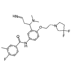 Cc1cc(C(=O)Nc2ccc(OCCN3CCC(F)(F)C3)c(C(CC=N)N(C)C)c2)ccc1F